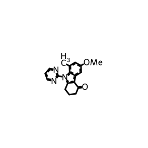 COc1cc(C)c2c(c1)c1c(n2-c2ncccn2)CCCC1=O